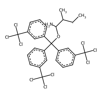 C[CH]C(C)C(N)OC(c1cccc(C(Cl)(Cl)Cl)c1)(c1cccc(C(Cl)(Cl)Cl)c1)c1cccc(C(Cl)(Cl)Cl)c1